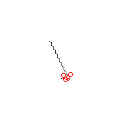 CCCCCCCCCCCCCCCCC(OC(C)=O)C(=O)OC